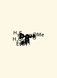 CCNC(=O)Nc1cc2c(-c3cc(C)nc(C)c3)ccc(CNC(=O)OC)c2cn1